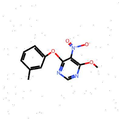 COc1ncnc(Oc2cccc(C)c2)c1[N+](=O)[O-]